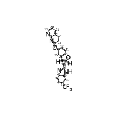 FC(F)(F)c1ccc2nc([C@@H]3[C@H]4Oc5ccc(OC6=Nc7ncccc7CC6)cc5[C@H]43)[nH]c2c1